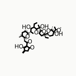 C=C1CC(=O)C(C(=O)C[C@@H]2O[C@@H](C(C)C(O)C(CC)C(=O)C(C)(O)[C@@H]3CC[C@@](CC)([C@@H]4CCC(O)(C(C)OC)[C@@H](C)O4)O3)[C@@H](C)C[C@@H]2C)=C1O